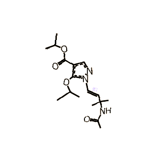 CC(=O)NC(C)(C)/C=C/n1ncc(C(=O)OC(C)C)c1OC(C)C